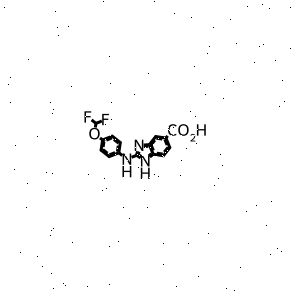 O=C(O)c1ccc2[nH]c(Nc3ccc(OC(F)F)cc3)nc2c1